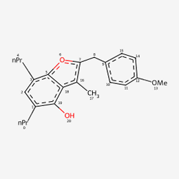 CCCc1cc(CCC)c2oc(Cc3ccc(OC)cc3)c(C)c2c1O